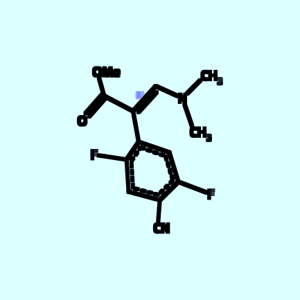 COC(=O)/C(=C/N(C)C)c1cc(F)c(C#N)cc1F